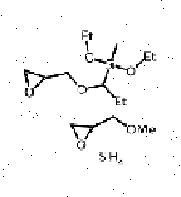 CCO[Si](C)(OCC)C(CC)OCC1CO1.COCC1CO1.[SiH4]